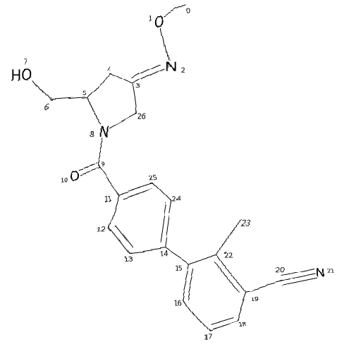 CO/N=C1\CC(CO)N(C(=O)c2ccc(-c3cccc(C#N)c3C)cc2)C1